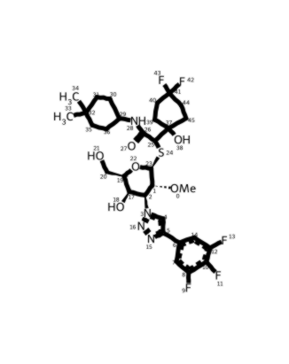 CO[C@@H]1[C@@H](n2cc(-c3cc(F)c(F)c(F)c3)nn2)[C@@H](O)[C@@H](CO)O[C@H]1SC(C(=O)NC1CCC(C)(C)CC1)C1(O)CCC(F)(F)CC1